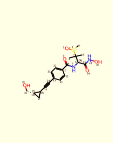 C[S+]([O-])C(C)(C)[C@H](NC(=O)c1ccc(C#CC2C[C@@H]2CO)cc1)C(=O)NO